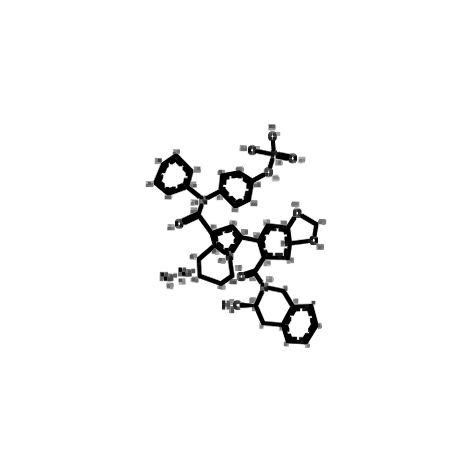 C[C@@H]1Cc2ccccc2CN1C(=O)c1cc2c(cc1-c1cc(C(=O)N(c3ccccc3)c3ccc(OP(=O)([O-])[O-])cc3)c3n1CCCC3)OCO2.[Na+].[Na+]